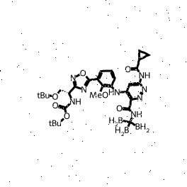 BC(B)(B)NC(=O)c1nnc(NC(=O)C2CC2)cc1Nc1cccc(-c2nc([C@@H](COC(C)(C)C)NC(=O)OC(C)(C)C)no2)c1OC